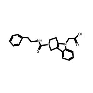 O=C(O)Cn1c2c(c3ccccc31)CN(C(=S)NCCc1ccccc1)CC2